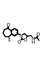 CC(=O)NCC1CN(c2ccc3c(c2)[C@@H](F)CCCC3=O)C(=O)O1